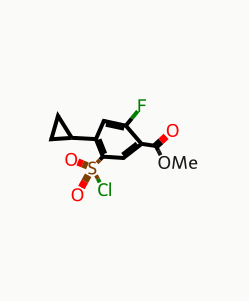 COC(=O)c1cc(S(=O)(=O)Cl)c(C2CC2)cc1F